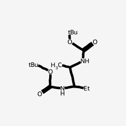 CC[C](NC(=O)OC(C)(C)C)C(C)NC(=O)OC(C)(C)C